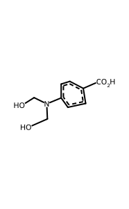 O=C(O)c1ccc(N(CO)CO)cc1